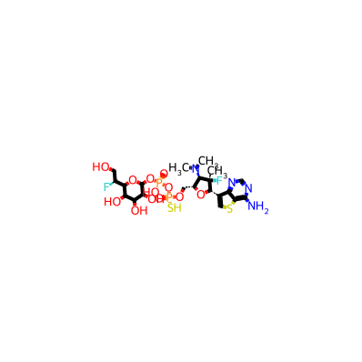 CN(C)[C@@H]1[C@@H](COP(=O)(S)OP(=O)(O)OC2OC([C@@H](F)CO)C(O)C(O)C2O)O[C@@H](c2csc3c(N)ncnc23)[C@]1(C)F